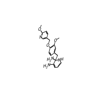 COc1ccc(COc2ccc(CC3(N)NC=CC=C3N)cc2OC)cn1